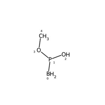 BP(O)OC